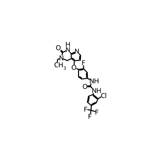 CCN1Cc2c(Oc3ccc(NC(=O)Nc4ccc(C(F)(F)F)cc4Cl)cc3F)ccnc2NC1=O